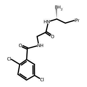 B[C@H](CC(C)C)NC(=O)CNC(=O)c1cc(Cl)ccc1Cl